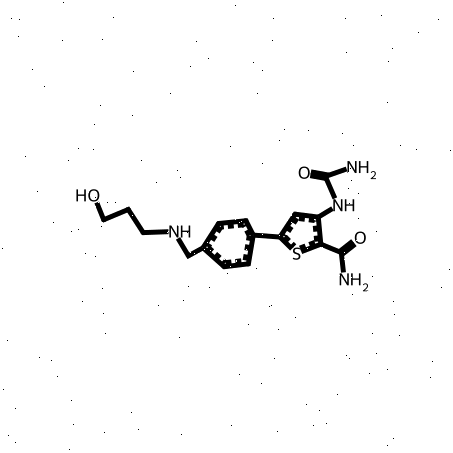 NC(=O)Nc1cc(-c2ccc(CNCCCO)cc2)sc1C(N)=O